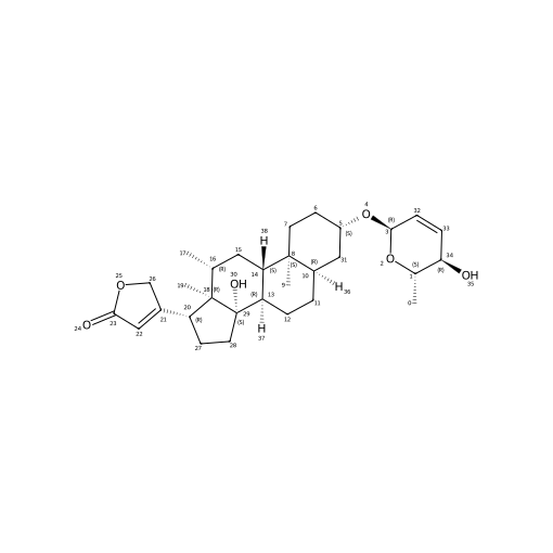 C[C@@H]1O[C@@H](O[C@H]2CC[C@@]3(C)[C@H](CC[C@@H]4[C@@H]3C[C@@H](C)[C@]3(C)[C@@H](C5=CC(=O)OC5)CC[C@]43O)C2)C=C[C@H]1O